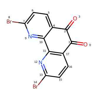 O=C1C(=O)c2ccc(Br)nc2-c2nc(Br)ccc21